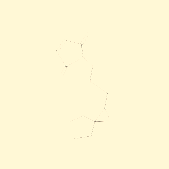 CCC1(CC)OC1CCCN1C(=O)C=CC1=O